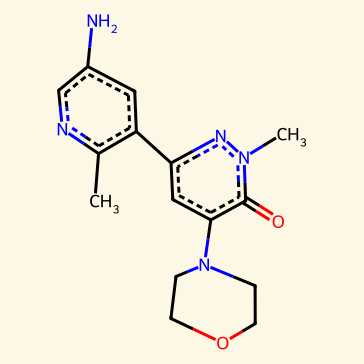 Cc1ncc(N)cc1-c1cc(N2CCOCC2)c(=O)n(C)n1